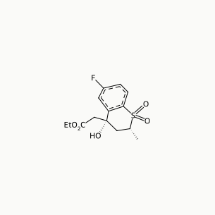 CCOC(=O)C[C@]1(O)C[C@@H](C)S(=O)(=O)c2ccc(F)cc21